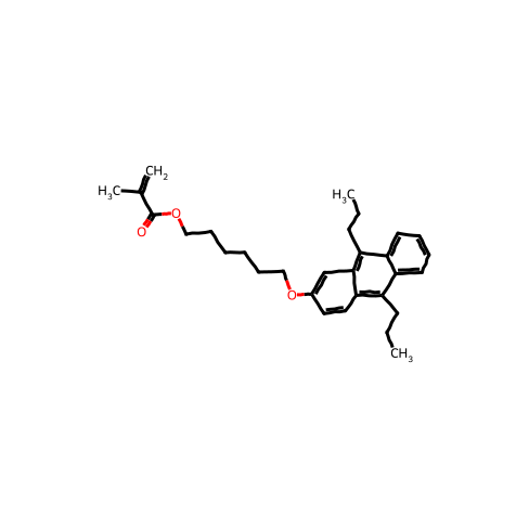 C=C(C)C(=O)OCCCCCCOc1ccc2c(CCC)c3ccccc3c(CCC)c2c1